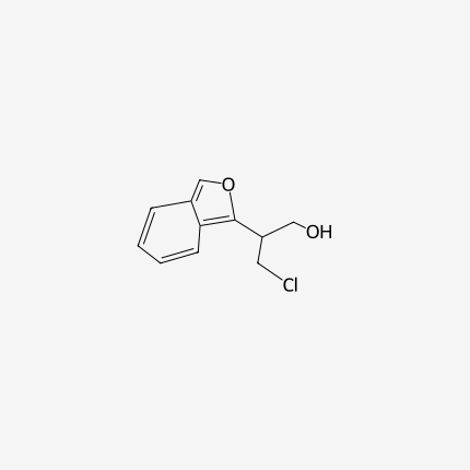 OCC(CCl)c1occ2ccccc12